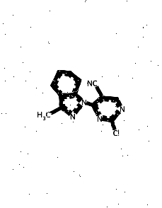 Cc1nn(-c2nc(Cl)ncc2C#N)c2ccccc12